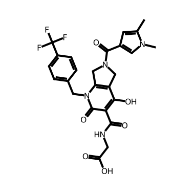 Cc1cc(C(=O)N2Cc3c(O)c(C(=O)NCC(=O)O)c(=O)n(Cc4ccc(C(F)(F)F)cc4)c3C2)cn1C